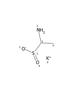 CC(N)S(=O)[O-].[K+]